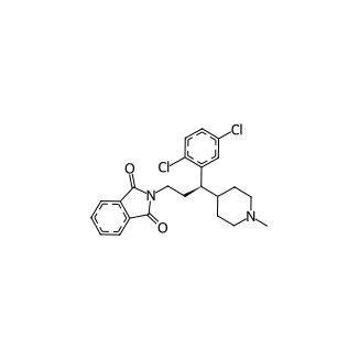 CN1CCC([C@@H](CCN2C(=O)c3ccccc3C2=O)c2cc(Cl)ccc2Cl)CC1